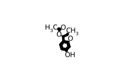 CC(=O)O[C@@H]1c2ccc(O)cc2OC1C